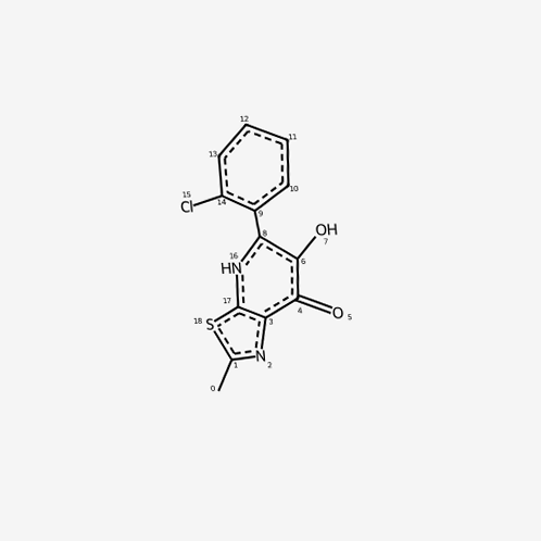 Cc1nc2c(=O)c(O)c(-c3ccccc3Cl)[nH]c2s1